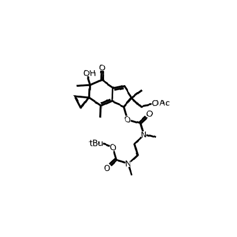 CC(=O)OCC1(C)C=C2C(=O)C(C)(O)C3(CC3)C(C)=C2C1OC(=O)N(C)CCN(C)C(=O)OC(C)(C)C